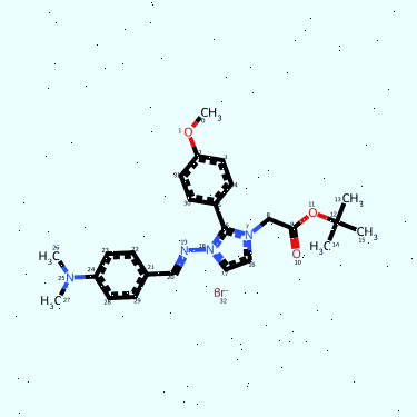 COc1ccc(-c2n(CC(=O)OC(C)(C)C)cc[n+]2N=Cc2ccc(N(C)C)cc2)cc1.[Br-]